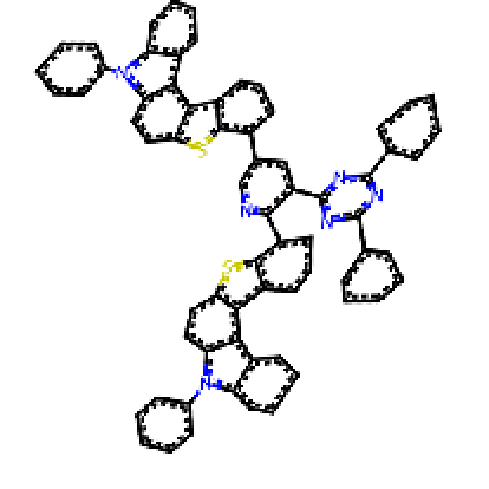 c1ccc(-c2nc(-c3ccccc3)nc(-c3cc(-c4cccc5c4sc4ccc6c(c7ccccc7n6-c6ccccc6)c45)cnc3-c3cccc4c3sc3ccc5c(c6ccccc6n5-c5ccccc5)c34)n2)cc1